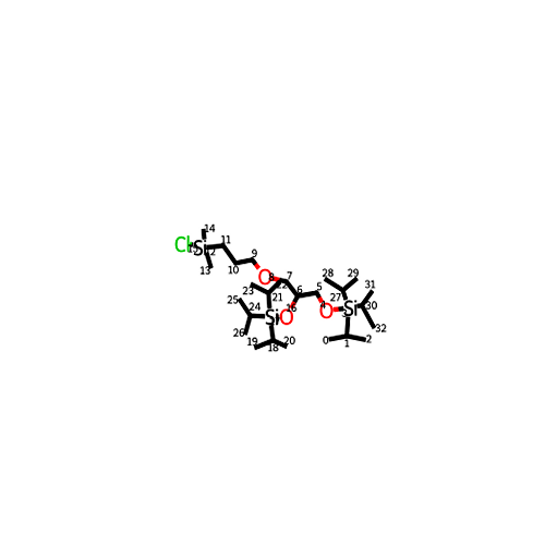 CC(C)[Si](OCC(COCCC[Si](C)(C)Cl)O[Si](C(C)C)(C(C)C)C(C)C)(C(C)C)C(C)C